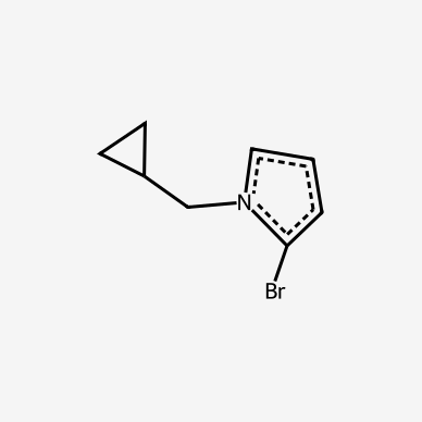 Brc1cccn1CC1CC1